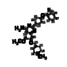 COc1cc2c(N)nc(-c3ccc(Oc4ccccc4F)cc3)nc2cc1OCC1CCN(C)CC1